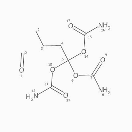 C=O.CCCC(OC(N)=O)(OC(N)=O)OC(N)=O